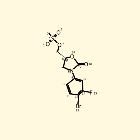 CS(=O)(=O)OC[C@H]1CN(c2ccc(Br)c(F)c2)C(=O)O1